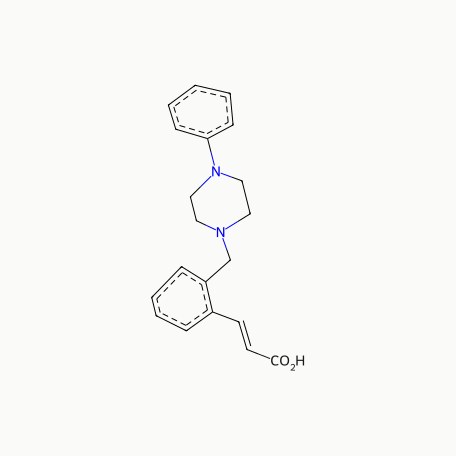 O=C(O)C=Cc1ccccc1CN1CCN(c2ccccc2)CC1